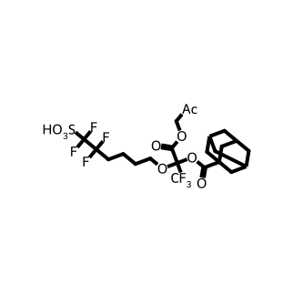 CC(=O)COC(=O)C(OCCCCC(F)(F)C(F)(F)S(=O)(=O)O)(OC(=O)C12CC3CC(CC(C3)C1)C2)C(F)(F)F